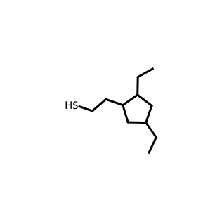 CCC1CC(CC)C(CCS)C1